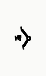 IOI.[Hf]